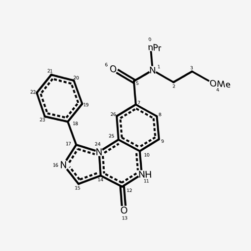 CCCN(CCOC)C(=O)c1ccc2[nH]c(=O)c3cnc(-c4ccccc4)n3c2c1